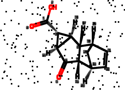 O=C(O)[C@H]1[C@@H]2C(=O)[C@@H]3[C@H]([C@H]12)[C@@H]1C=C[C@@H]3C1